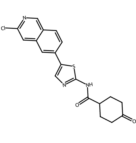 O=C1CCC(C(=O)Nc2ncc(-c3ccc4cnc(Cl)cc4c3)s2)CC1